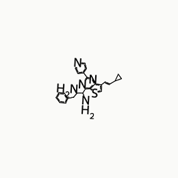 NC(Cc1ccccc1)C(N)c1nc(-c2ccncc2)nc2c(C=CC3CC3)csc12